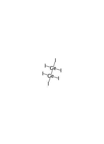 [I][Ge]([I])([I])[Ge]([I])([I])[I]